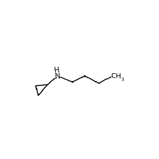 CCCCNC1CC1